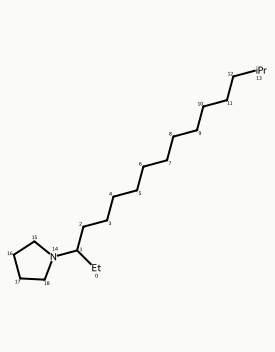 CCC(CCCCCCCCCCCC(C)C)N1CCCC1